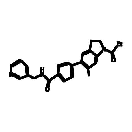 CCC(=O)N1CCc2cc(-c3ccc(C(=O)NCc4cccnc4)cc3)c(C)cc21